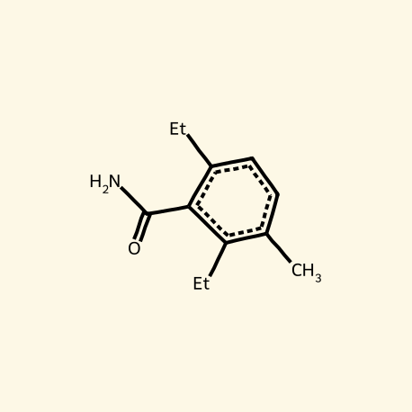 CCc1ccc(C)c(CC)c1C(N)=O